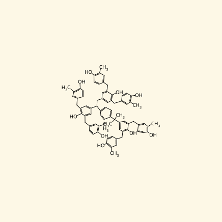 Cc1cc(Cc2cc(CC(c3ccc(C(C)(C)c4cc(Cc5ccc(O)c(C)c5)c(O)c(Cc5ccc(O)c(C)c5)c4)cc3)c3cc(Cc4ccc(O)c(C)c4)c(O)c(Cc4ccc(O)c(C)c4)c3)cc(Cc3ccc(O)c(C)c3)c2O)ccc1O